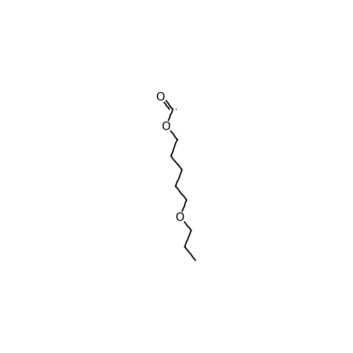 CCCOCCCCCO[C]=O